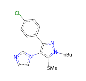 CCCCn1nc(-c2ccc(Cl)cc2)c(-n2ccnc2)c1SC